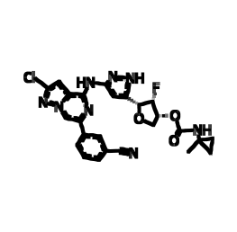 CC1(NC(=O)O[C@@H]2CO[C@H](c3cc(Nc4nc(-c5cccc(C#N)c5)cn5nc(Cl)cc45)n[nH]3)[C@@H]2F)CC1